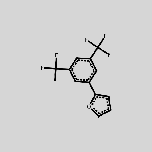 FC(F)(F)c1cc(-c2cc[c]o2)cc(C(F)(F)F)c1